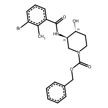 Cc1c(Br)cccc1C(=O)N[C@@H]1CN(C(=O)OCc2ccccc2)CC[C@H]1O